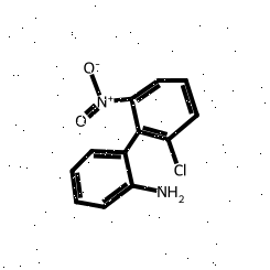 Nc1ccccc1-c1c(Cl)cccc1[N+](=O)[O-]